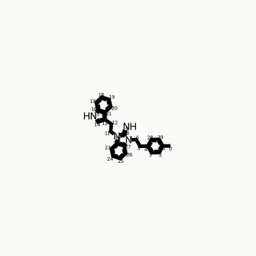 Cc1ccc(CCn2c(=N)n(CCc3c[nH]c4ccccc34)c3ccccc32)cc1